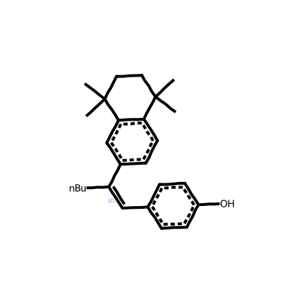 CCCC/C(=C/c1ccc(O)cc1)c1ccc2c(c1)C(C)(C)CCC2(C)C